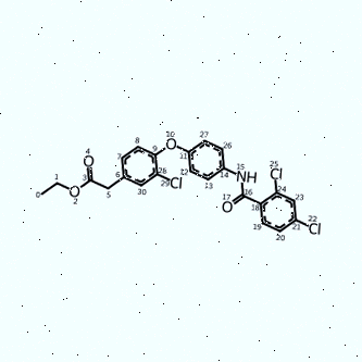 CCOC(=O)Cc1ccc(Oc2ccc(NC(=O)c3ccc(Cl)cc3Cl)cc2)c(Cl)c1